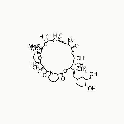 CC[C@@H]1/C=C(\C)C[C@@H](C)C[C@H](OC)[C@H]2O[C@@](O)(C(=O)C(=O)N3CCCCC3C(=O)O[C@H](/C(C)=C/[C@@H]3CC[C@@H](O)[C@H](CO)C3)[C@H](C)[C@@H](O)CC1=O)[C@H](C)C[C@@H]2OC